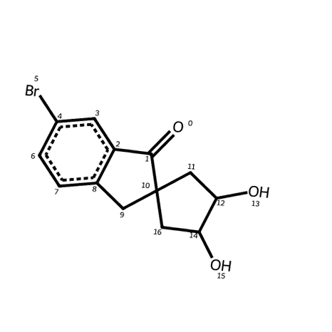 O=C1c2cc(Br)ccc2CC12CC(O)C(O)C2